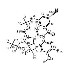 COc1ccc(-n2c([C@@H]3C[C@@](O[Si](C)(C)C(C)(C)C)(C(F)(F)F)CN3C(=O)OC(C)(C)C)nc3c(Br)cc(C#N)cc3c2=O)cc1F